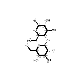 OC[C@H]1O[C@H](O[C@H]2[C@H](O)[C@@H](O)[C@H](S)O[C@@H]2CO)[C@H](O)[C@@H](O)[C@@H]1O